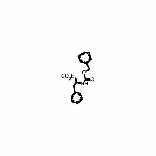 CCOC(=O)C(Cc1ccccc1)NC(=O)OCc1ccccc1